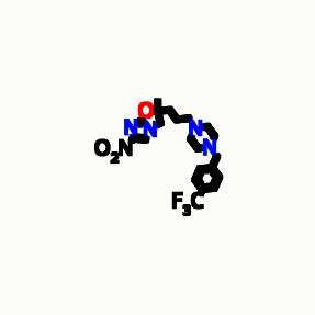 CC1(CCCN2CCN(Cc3ccc(C(F)(F)F)cc3)CC2)Cn2cc([N+](=O)[O-])nc2O1